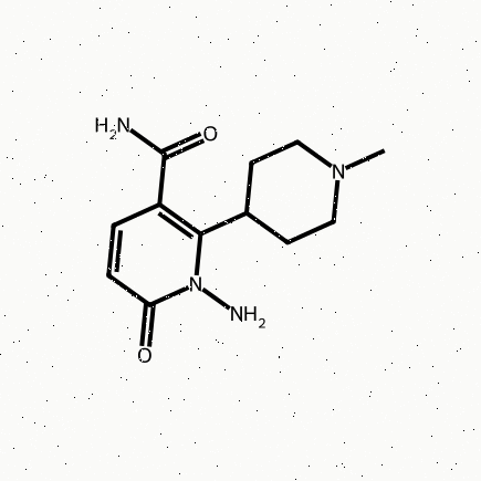 CN1CCC(c2c(C(N)=O)ccc(=O)n2N)CC1